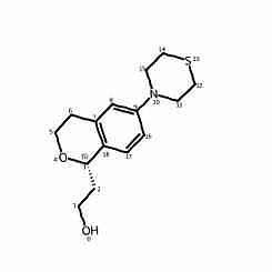 OCC[C@@H]1OCCc2cc(N3CCSCC3)ccc21